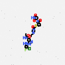 C=CC(=O)Nc1cc2c(Nc3ccc(F)c(Cl)c3)ncnc2cc1OCCCN1CCN(C(=O)CSc2cccc3c2CN(C2CCC(=O)NC2=O)C3=O)CC1